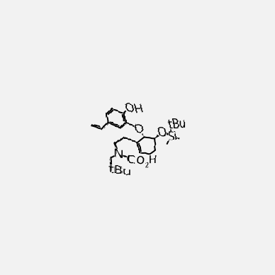 C=Cc1ccc(O)c(O[C@H]2C(CCN(CC(C)(C)C)C(=O)O)=CCC[C@@H]2O[Si](C)(C)C(C)(C)C)c1